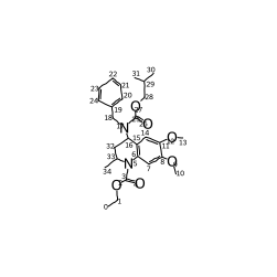 CCOC(=O)N1c2cc(OC)c(OC)cc2C(N(Cc2ccccc2)C(=O)OCC(C)C)CC1C